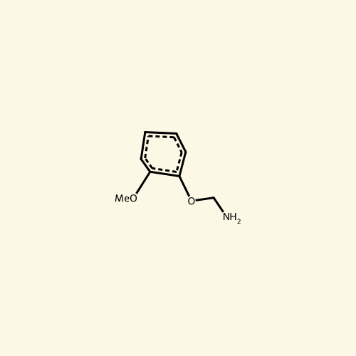 COc1ccccc1OCN